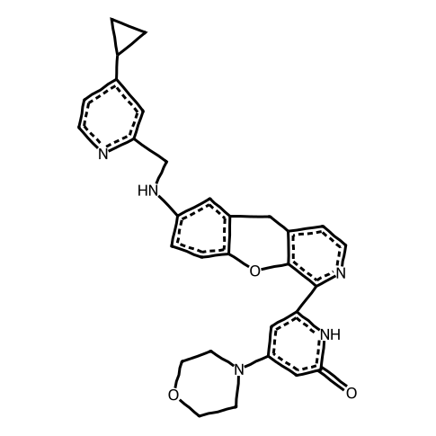 O=c1cc(N2CCOCC2)cc(-c2nccc3c2Oc2ccc(NCc4cc(C5CC5)ccn4)cc2C3)[nH]1